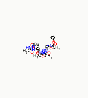 C[C@@H](NC(=O)OC(C)(C)C)C(=O)NC[C@@H]1CCC[C@H]1C(=O)N[C@H](C)C(=O)N[C@H](C)C(=O)NC[C@@H]1CCC[C@H]1C(=O)N[C@H](C)C(=O)OCc1ccccc1